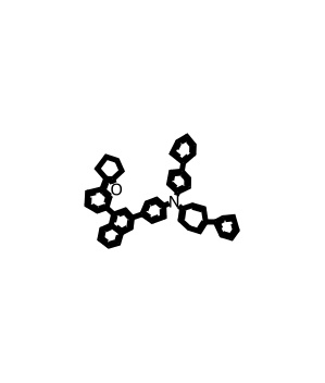 C1=CC(N(c2ccc(-c3ccccc3)cc2)c2ccc(-c3cc(-c4cccc5c6c(oc45)CCCC6)c4ccccc4c3)cc2)=CCC=C1c1ccccc1